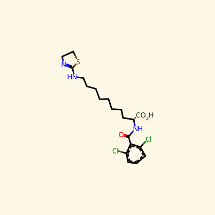 O=C(N[C@H](CCCCCCCCNC1=NCCS1)C(=O)O)c1c(Cl)cccc1Cl